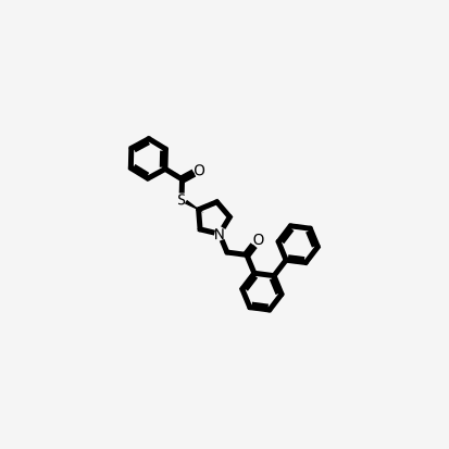 O=C(S[C@H]1CCN(CC(=O)c2ccccc2-c2ccccc2)C1)c1ccccc1